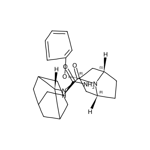 NC(=O)[C@]12CC3CC(C1)[C@@H](NC(=O)N1[C@@H]4CC[C@H]1C[C@@H](Oc1ccccc1)C4)C(C3)C2